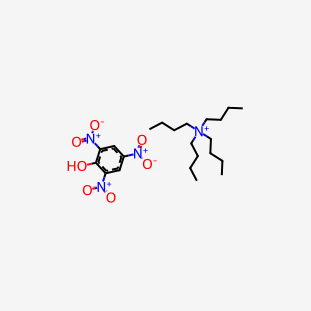 CCCC[N+](CCCC)(CCCC)CCCC.O=[N+]([O-])c1cc([N+](=O)[O-])c(O)c([N+](=O)[O-])c1